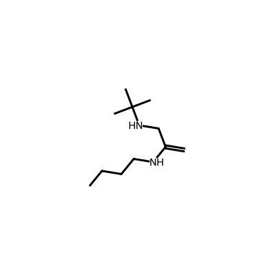 C=C(CNC(C)(C)C)NCCCC